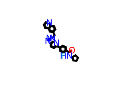 O=C(NC1CCCC1)c1ccc(-c2ccc3nnn(Cc4ccc5ncccc5c4)c3n2)cc1F